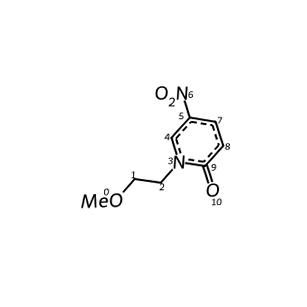 COCCn1cc([N+](=O)[O-])ccc1=O